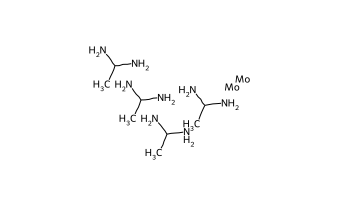 CC(N)N.CC(N)N.CC(N)N.CC(N)N.[Mo].[Mo]